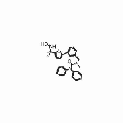 CN(Cc1cccc(-c2ccc(C(=O)NO)s2)c1)C(=O)N(c1ccccc1)c1ccccc1